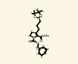 COC(=O)C1=C(CCCB2OC(C)(C)C(C)(C)O2)CCN1C(=O)OCc1ccccc1